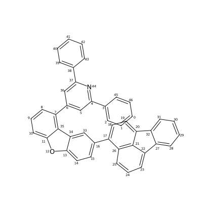 c1ccc(-c2cc(-c3cccc4oc5ccc(-c6ccc7c8c(cccc68)-c6ccccc6-7)cc5c34)cc(-c3ccccc3)n2)cc1